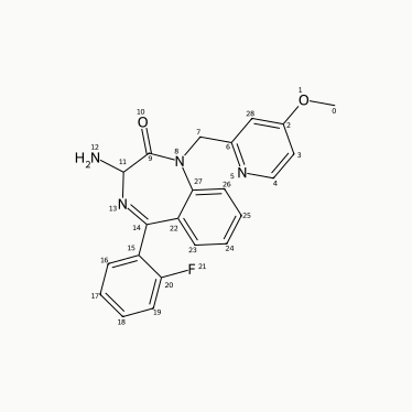 COc1ccnc(CN2C(=O)C(N)N=C(c3ccccc3F)c3ccccc32)c1